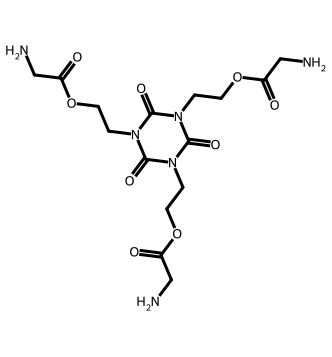 NCC(=O)OCCn1c(=O)n(CCOC(=O)CN)c(=O)n(CCOC(=O)CN)c1=O